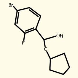 OC(CC1CCCC1)c1ccc(Br)cc1F